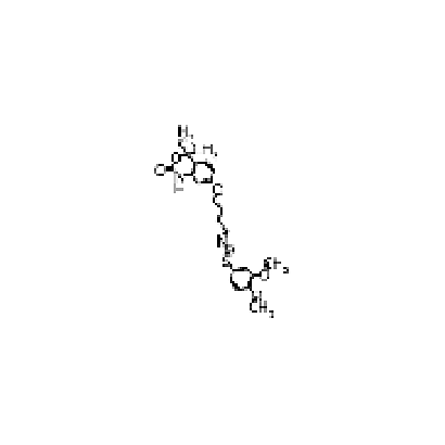 COc1ccc(SON=CCCCOc2ccc3c(c2)NC(=O)OC3(C)C)cc1OC